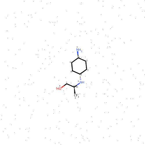 N[C@H]1CC[C@H](N[C@H](CO)C(F)(F)F)CC1